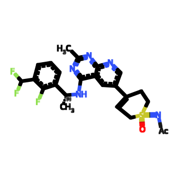 CC(=O)N=S1(=O)CC=C(c2cnc3nc(C)nc(N[C@H](C)c4cccc(C(F)F)c4F)c3c2)CC1